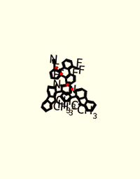 CC1(C)c2ccccc2-c2ccc3c(c21)c1ccccc1n3-c1ccc(-c2c(C(F)(F)F)cccc2C(F)(F)F)c(-c2cc(C#N)ccc2-n2c3ccccc3c3c4c(ccc32)-c2ccccc2C4(C)C)c1